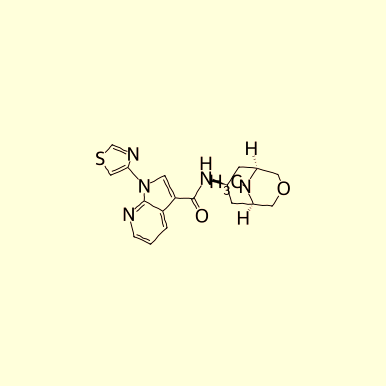 CN1[C@@H]2COC[C@H]1C[C@@H](NC(=O)c1cn(-c3cscn3)c3ncccc13)C2